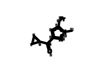 CC(C)c1cc(C(=O)C2CC2)nn1C